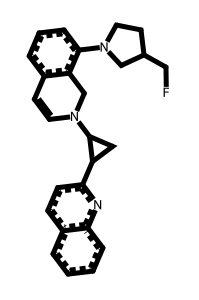 FCC1CCN(c2cccc3c2CN(C2CC2c2ccc4ccccc4n2)C=C3)C1